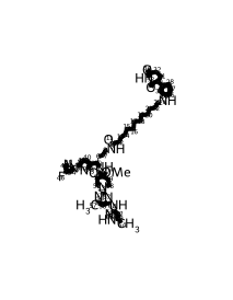 COC1(C(=O)N[C@@H](CCCNC(=O)CCCCCCCCCCCCNc2cccc(C3CCC(=O)NC3=O)c2)c2ccc(-n3cc(F)cn3)nc2)CCN(c2nc(C)cc(Nc3cc(C)[nH]n3)n2)CC1